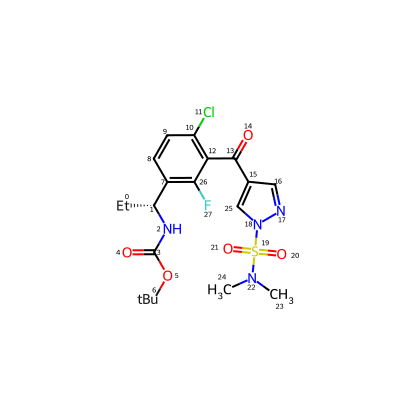 CC[C@@H](NC(=O)OC(C)(C)C)c1ccc(Cl)c(C(=O)c2cnn(S(=O)(=O)N(C)C)c2)c1F